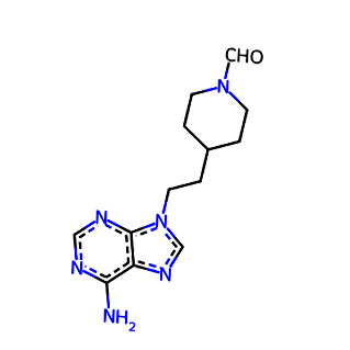 Nc1ncnc2c1ncn2CCC1CCN(C=O)CC1